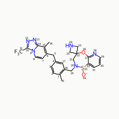 Cc1ccc(Cc2ccn3c(C(F)(F)F)nnc3c2C)cc1CN1CC2(CNC2)Oc2ncccc2[S+]1[O-]